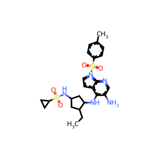 CCC1CC(NS(=O)(=O)C2CC2)CC1Nc1c(N)cnc2c1ccn2S(=O)(=O)c1ccc(C)cc1